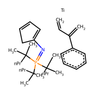 C=CC(=C)c1ccccc1.CCCC(C)(C)P(=NC1=CC=CC1)(C(C)(C)CCC)C(C)(C)CCC.[Ti]